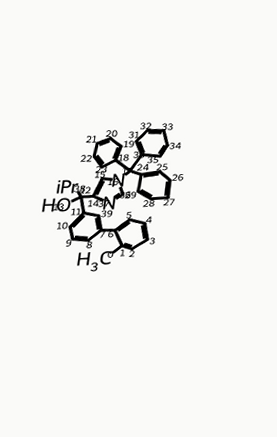 Cc1ccccc1-c1cccc(C(O)(c2cn(C(c3ccccc3)(c3ccccc3)c3ccccc3)cn2)C(C)C)c1